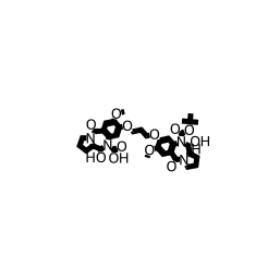 COc1cc2c(cc1OCCCOc1cc3c(cc1OC)C(=O)N1CCC[C@H]1[C@H](O)N3C(=O)OC(C)(C)C)N(C(=O)O)C(O)C1CCCN1C2=O